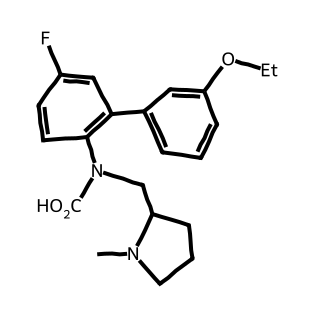 CCOc1cccc(-c2cc(F)ccc2N(CC2CCCN2C)C(=O)O)c1